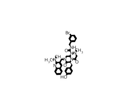 CN(C)c1nc2ccccc2cc1CN1CC2N(C(=O)CN(C)N2C(=O)NCc2cccc(Br)c2)[C@@H](Cc2ccc(O)cc2)C1=O